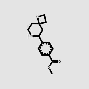 COC(=O)c1ccc(C2CC3(CCN2)CCO3)cc1